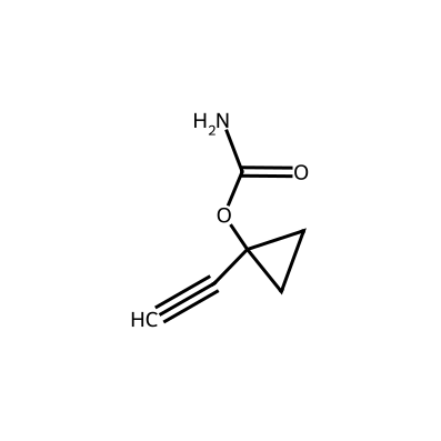 C#CC1(OC(N)=O)CC1